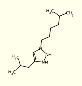 CC(C)CCCCN1C=C(CC(C)C)NN1